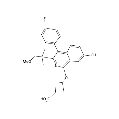 COCC(C)(C)c1nc(OC2CC(C(=O)O)C2)c2cc(O)ccc2c1-c1ccc(F)cc1